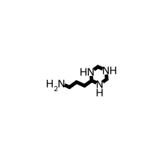 NCCCC1NCNCN1